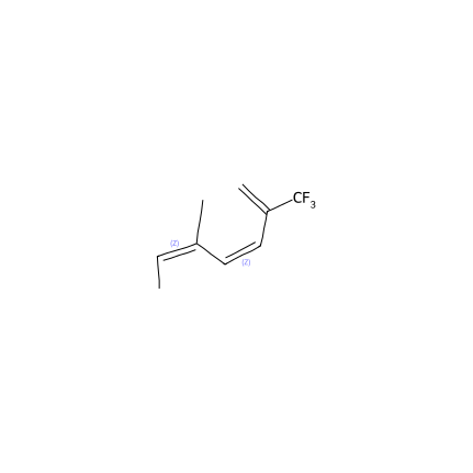 C=C(/C=C\C(C)=C/C)C(F)(F)F